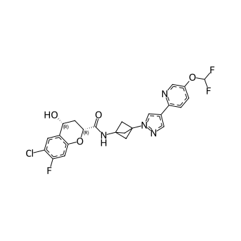 O=C(NC12CC(n3cc(-c4ccc(OC(F)F)cn4)cn3)(C1)C2)[C@H]1C[C@@H](O)c2cc(Cl)c(F)cc2O1